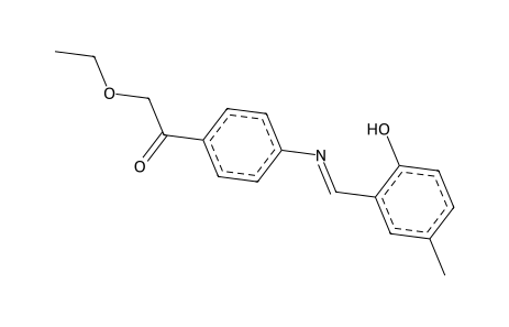 CCOCC(=O)c1ccc(/N=C/c2cc(C)ccc2O)cc1